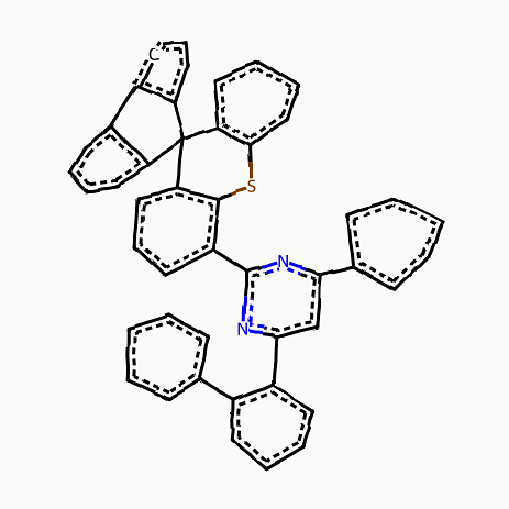 c1ccc(-c2cc(-c3ccccc3-c3ccccc3)nc(-c3cccc4c3Sc3ccccc3C43c4ccccc4-c4ccccc43)n2)cc1